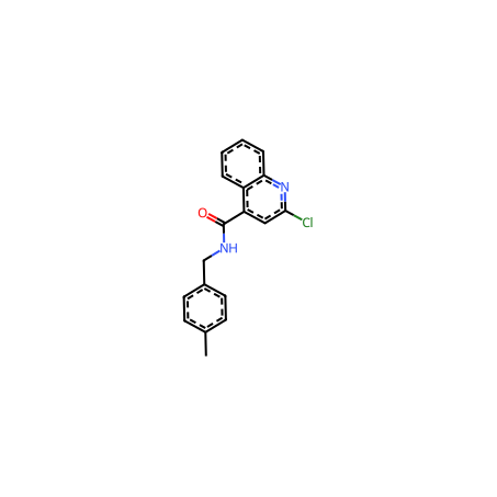 Cc1ccc(CNC(=O)c2cc(Cl)nc3ccccc23)cc1